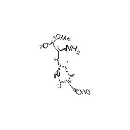 COC(=O)[C@@H](N)Cc1ccc(C=O)cn1